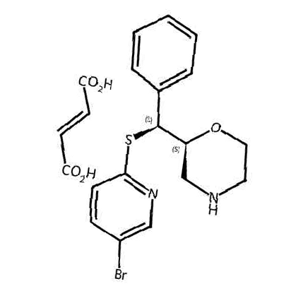 Brc1ccc(S[C@@H](c2ccccc2)[C@@H]2CNCCO2)nc1.O=C(O)C=CC(=O)O